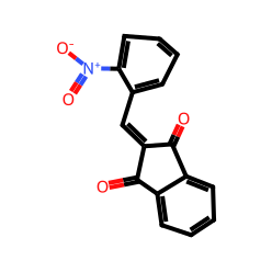 O=C1C(=Cc2ccccc2[N+](=O)[O-])C(=O)c2ccccc21